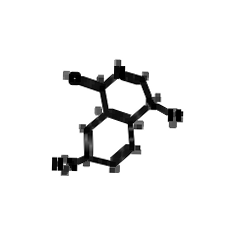 CCn1cnc(=O)c2cc(N)ccc21